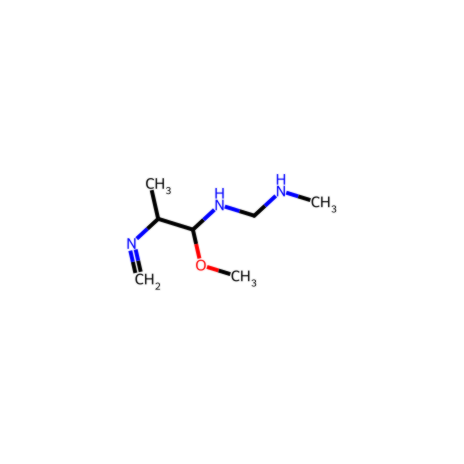 C=NC(C)C(NCNC)OC